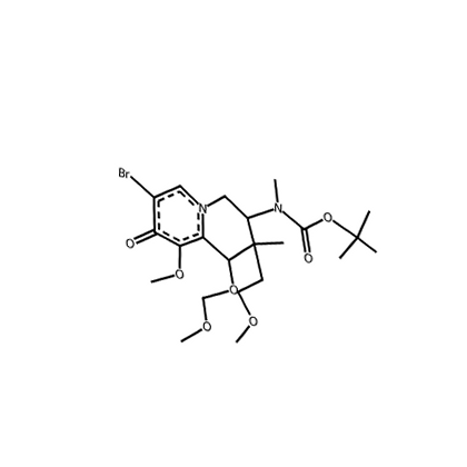 COCCC1(C)C(OCOC)c2c(OC)c(=O)c(Br)cn2CC1N(C)C(=O)OC(C)(C)C